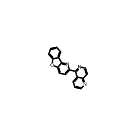 c1ccc2c(c1)oc1ccc(-c3nccc4ncccc34)nc12